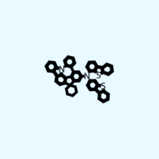 c1ccc2c(c1)-c1cc(N(c3ccc4c(c3)sc3ccccc34)c3cccc4c3sc3ccccc34)cc3c1-c1c(ccc4c5ccccc5n-2c14)C31CCCCC1